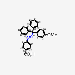 COc1ccc(C(N=Nc2ccc(C(=O)O)cc2)(c2ccccc2)c2ccccc2)cc1